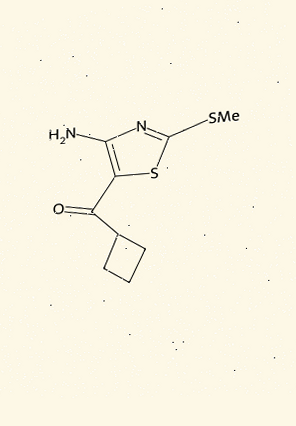 CSc1nc(N)c(C(=O)C2CCC2)s1